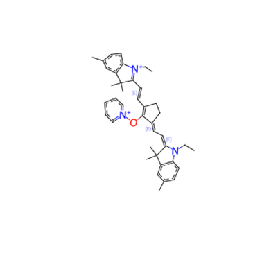 CCN1/C(=C/C=C2\CCC(/C=C/C3=[N+](CC)c4ccc(C)cc4C3(C)C)=C2O[n+]2ccccc2)C(C)(C)c2cc(C)ccc21